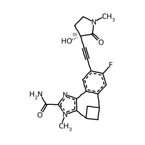 CN1CC[C@](O)(C#Cc2cc3c(cc2F)C2CC(C2)c2c-3nc(C(N)=O)n2C)C1=O